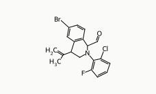 C=C(C)C1CN(c2c(F)cccc2Cl)C(C=O)c2ccc(Br)cc21